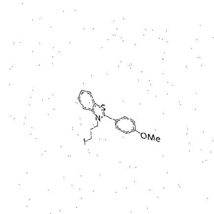 COc1ccc(-c2sc3ccccc3[n+]2CCCI)cc1